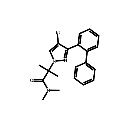 CCc1cn(C(C)(C)C(=O)N(C)C)nc1-c1ccccc1-c1ccccc1